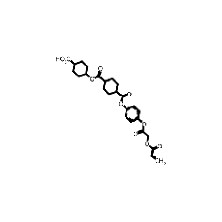 C=CC(=O)OCC(=O)Oc1ccc(OC(=O)C2CCC(C(=O)OC3CCC(C(=O)O)CC3)CC2)cc1